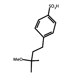 COC(C)(C)CCc1ccc(S(=O)(=O)O)cc1